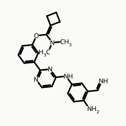 CN(C)C(Oc1cccc(-c2nccc(Nc3ccc(N)c(C=N)c3)n2)c1)=C1CCC1